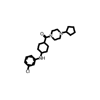 O=C(C1CCC(Nc2cccc(Cl)c2)CC1)N1CCN(C2CCCC2)CC1